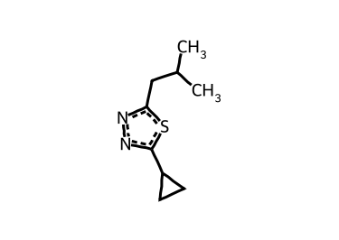 CC(C)Cc1nnc(C2CC2)s1